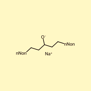 CCCCCCCCCCCC([O-])CCCCCCCCCCC.[Na+]